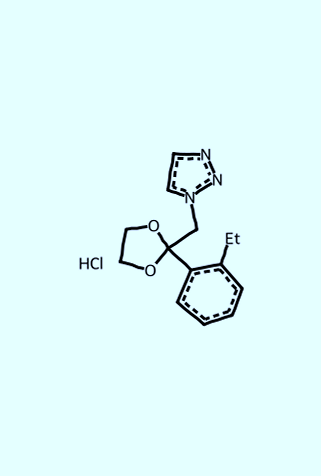 CCc1ccccc1C1(Cn2ccnn2)OCCO1.Cl